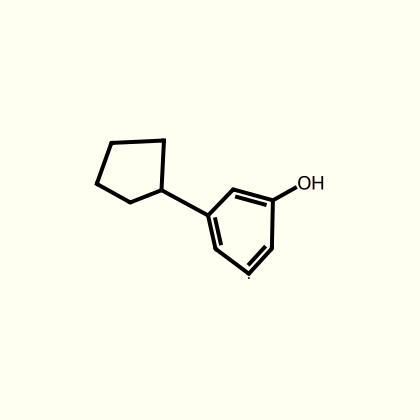 Oc1c[c]cc(C2CCCC2)c1